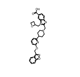 O=C(O)c1ccc2nc(CN3CCC(c4cccc(OCc5noc6ccccc56)n4)CC3)n(CC3CCO3)c2c1